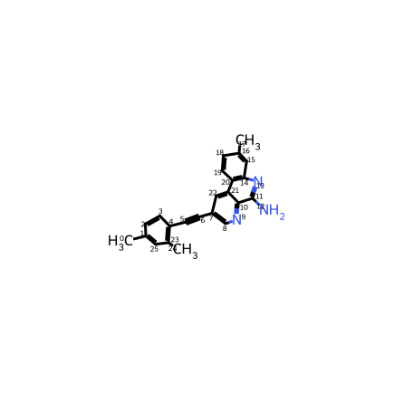 Cc1ccc(C#Cc2cnc3c(N)nc4cc(C)ccc4c3c2)c(C)c1